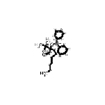 CCCCCCCC(C=O)(O[SiH](c1ccccc1)c1ccccc1)C(C)(C)C